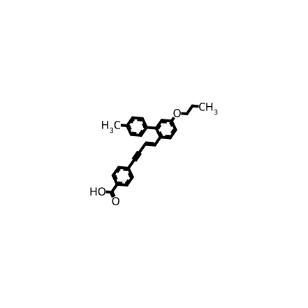 CCCOc1ccc(/C=C/C#Cc2ccc(C(=O)O)cc2)c(-c2ccc(C)cc2)c1